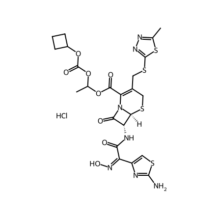 Cc1nnc(SCC2=C(C(=O)OC(C)OC(=O)OC3CCC3)N3C(=O)[C@@H](NC(=O)/C(=N\O)c4csc(N)n4)[C@@H]3SC2)s1.Cl